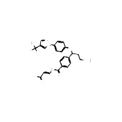 CCCC(Oc1ccc(-n2cc(C(F)(F)F)cn2)cc1)c1ccc(C(=O)NC=CC(=O)O)cc1